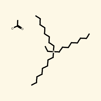 CC(=O)[O-].CCCCCCCC[P+](CC)(CCCCCCCC)CCCCCCCC